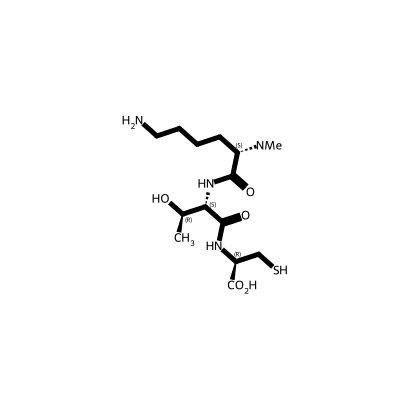 CN[C@@H](CCCCN)C(=O)N[C@H](C(=O)N[C@@H](CS)C(=O)O)[C@@H](C)O